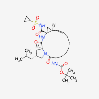 CC(C)C[C@@H]1C[C@H]2C(=O)N[C@]3(C(=O)NS(=O)(=O)C4CC4)C[C@H]3/C=C\CCCCC[C@H](NC(=O)OC(C)(C)C)C(=O)N2C1